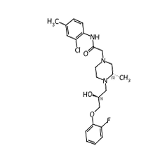 Cc1ccc(NC(=O)CN2CCN(C[C@H](O)COc3ccccc3F)[C@@H](C)C2)c(Cl)c1